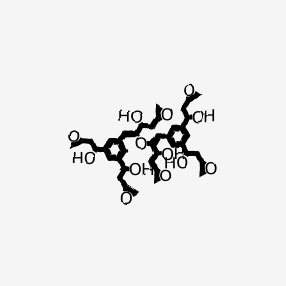 OC(CC1CO1)C(=Cc1cc(C(O)CC2CO2)cc(C(O)CC2CO2)c1)OC(=Cc1cc(C(O)CC2CO2)cc(C(O)CC2CO2)c1)C(O)CC1CO1